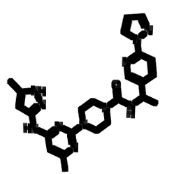 Cc1cc(Nc2cc(C)[nH]n2)nc(N2CCN(C(=O)NC(C)c3ccc(-n4cccn4)nc3)CC2)n1